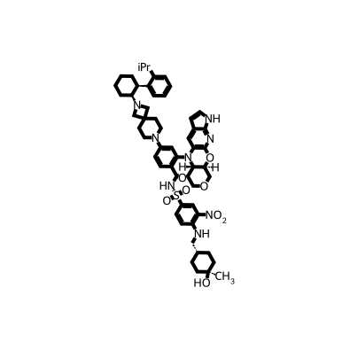 CC(C)c1ccccc1[C@@H]1CCCC[C@@H]1N1CC2(CCN(c3ccc(C(=O)NS(=O)(=O)c4ccc(NC[C@H]5CC[C@](C)(O)CC5)c([N+](=O)[O-])c4)c(N4c5cc6cc[nH]c6nc5O[C@H]5COCC[C@@H]54)c3)CC2)C1